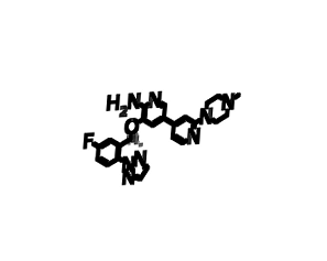 C[C@@H](Oc1cc(-c2ccnc(N3CCN(C)CC3)c2)cnc1N)c1cc(F)ccc1-n1nccn1